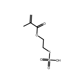 C=C(C)C(=O)OCCSS(=O)(=O)O